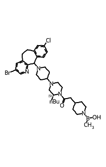 CCCC[C@H]1CN(C2CCN(C3c4ccc(Cl)cc4CCc4cc(Br)cnc43)CC2)CCN1C(=O)CC1CCN(B(C)O)CC1